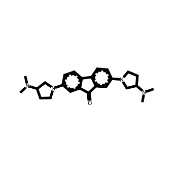 CN(C)C1CCN(c2ccc3c(c2)C(=O)c2cc(N4CCC(N(C)C)C4)ccc2-3)C1